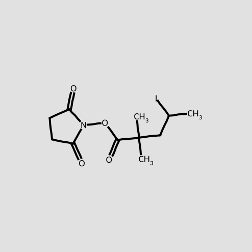 CC(I)CC(C)(C)C(=O)ON1C(=O)CCC1=O